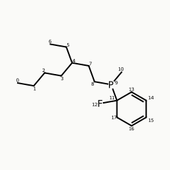 CCCCC(CC)CCP(C)C1(F)C=CC=CC1